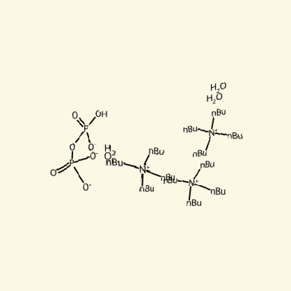 CCCC[N+](CCCC)(CCCC)CCCC.CCCC[N+](CCCC)(CCCC)CCCC.CCCC[N+](CCCC)(CCCC)CCCC.O.O.O.O=P([O-])([O-])OP(=O)([O-])O